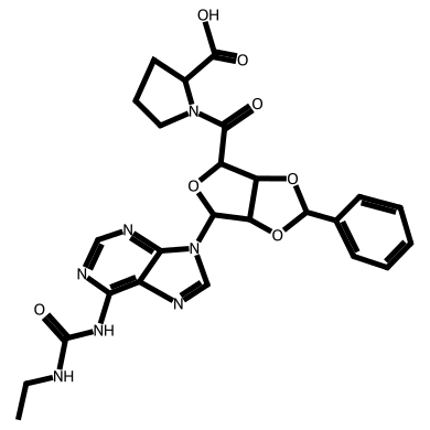 CCNC(=O)Nc1ncnc2c1ncn2C1OC(C(=O)N2CCCC2C(=O)O)C2OC(c3ccccc3)OC21